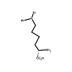 CCN(CCCC[C@H](N)C(=O)O)C(C)C